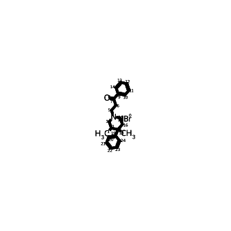 Br.CC1CN(CCC(=O)c2ccccc2)CCC1(C)c1ccccc1